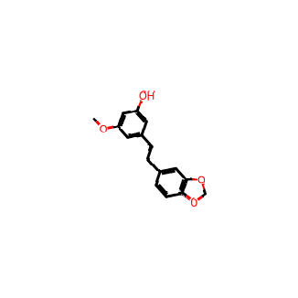 COc1cc(O)cc(CCc2ccc3c(c2)OCO3)c1